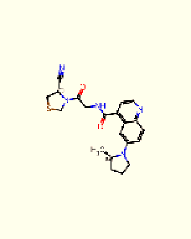 C[C@@H]1CCCN1c1ccc2nccc(C(=O)NCC(=O)N3CSC[C@H]3C#N)c2c1